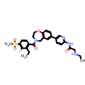 CCNCC(=O)Nc1ccc(-c2ccc3c(c2)CN(C(=O)c2ccc(S(C)(=O)=O)c(F)c2CC)CCO3)cn1